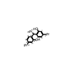 CCCC(c1ccc(C(C)C)cc1O)c1ccc(C(C)C)cc1O